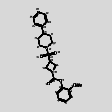 COc1ccccc1OC(=O)N1CC(S(=O)(=O)N2CCC(c3ccncc3)CC2)C1